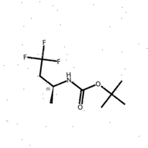 C[C@@H]([CH]C(F)(F)F)NC(=O)OC(C)(C)C